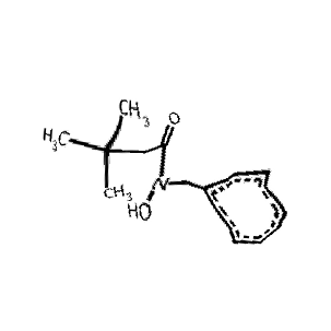 CC(C)(C)C(=O)N(O)c1ccccc1